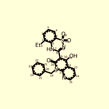 CCc1cccc2c1NC(c1c(O)c3cccnc3n(Cc3ccccc3)c1=O)=NS2(=O)=O